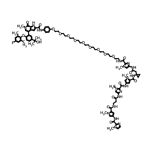 Cc1cc(F)cc(C)c1Oc1ccc(C(C)(C)O)cc1-c1cn(C)c(=O)c2[nH]c(C(=O)Nc3ccc(OCCOCCOCCOCCOCCOCCOCCOCCOCCNC(=O)c4nc(NC(=O)CC5(NC(=O)c6cc(NC(=O)c7nc(NC(=O)CCNC(=O)c8cc(NC(=O)c9nccn9C)cn8C)cn7C)cn6C)CC5)cn4C)cc3)cc12